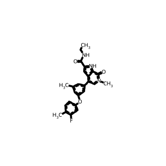 CCNC(=O)c1cc2c(-c3cc(C)cc(Oc4ccc(C)c(F)c4)c3)cn(C)c(=O)c2[nH]1